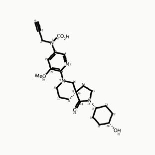 C#CCN(C(=O)O)c1cnc(N2CCC[C@@]3(CCN([C@H]4CC[C@@H](O)CC4)C3=O)C2)c(OC)c1